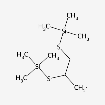 [CH2]C(CS[Si](C)(C)C)S[Si](C)(C)C